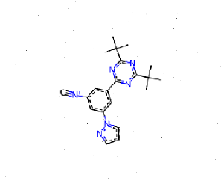 [C-]#[N+]c1cc(-c2nc(C(C)(C)C)nc(C(C)(C)C)n2)cc(-n2cccn2)c1